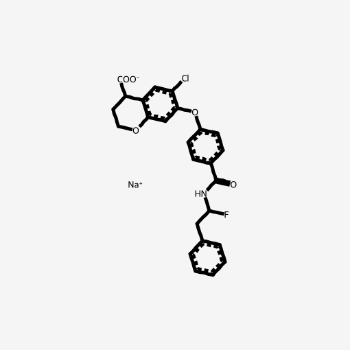 O=C(NC(F)Cc1ccccc1)c1ccc(Oc2cc3c(cc2Cl)C(C(=O)[O-])CCO3)cc1.[Na+]